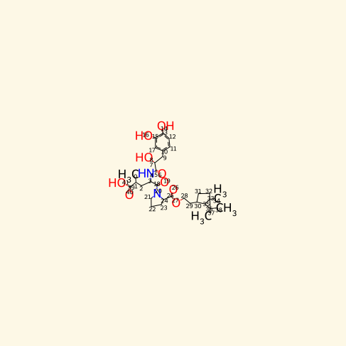 CC(CC(NC(=O)C(O)Cc1ccc(O)c(O)c1)C(=O)N1CCCC1C(=O)OCCC1CCC2(C)C1C2(C)C)C(=O)O